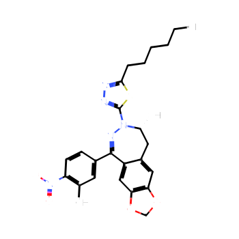 CCCCCCc1nnc(N2N=C(c3ccc([N+](=O)[O-])c(C)c3)c3cc4c(cc3C[C@H]2C)OCO4)s1